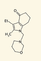 CCc1c2c(n(CN3CCCOC3)c1C)CCCC2=O